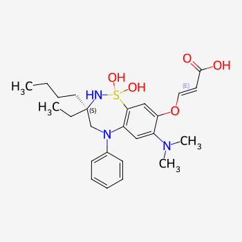 CCCC[C@@]1(CC)CN(c2ccccc2)c2cc(N(C)C)c(O/C=C/C(=O)O)cc2S(O)(O)N1